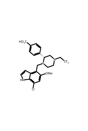 COc1cc(Cl)c2[nH]ccc2c1CN1CCN(CC(F)(F)F)C[C@H]1c1ccc(C(=O)O)cc1